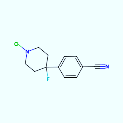 N#Cc1ccc(C2(F)CCN(Cl)CC2)cc1